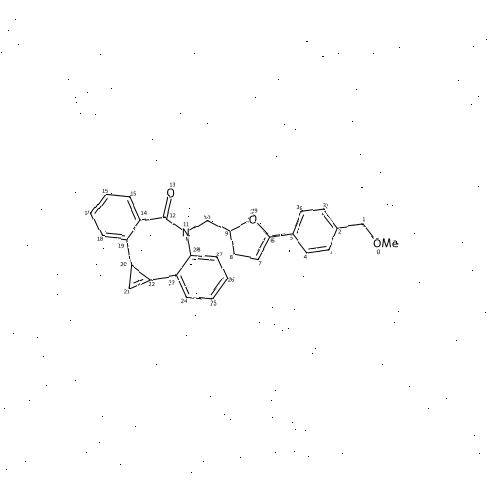 COCc1ccc(C2=CCC(CN3C(=O)c4ccccc4C4C=C4c4ccccc43)O2)cc1